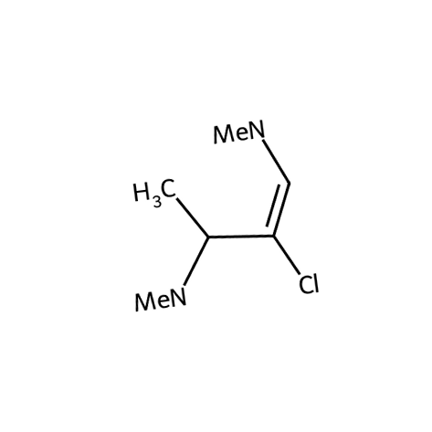 CN/C=C(/Cl)C(C)NC